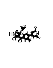 Cc1cc(-c2cc3c(cc2F)c(=O)c2c(=O)[nH]sc2n3C2CC2)cc(C)n1